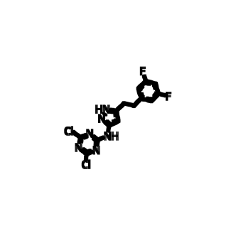 Fc1cc(F)cc(CCc2cc(Nc3nc(Cl)nc(Cl)n3)n[nH]2)c1